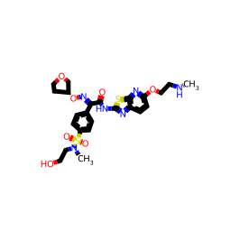 CNCCOc1ccc2nc(NC(=O)/C(=N/O[C@@H]3CCOC3)c3ccc(S(=O)(=O)N(C)CCO)cc3)sc2n1